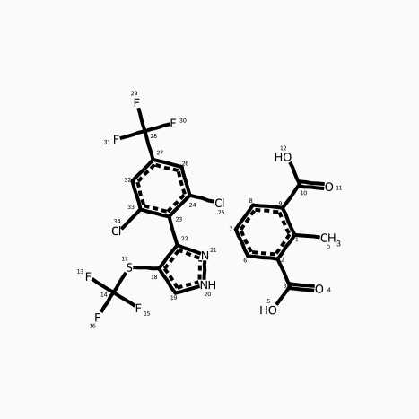 Cc1c(C(=O)O)cccc1C(=O)O.FC(F)(F)Sc1c[nH]nc1-c1c(Cl)cc(C(F)(F)F)cc1Cl